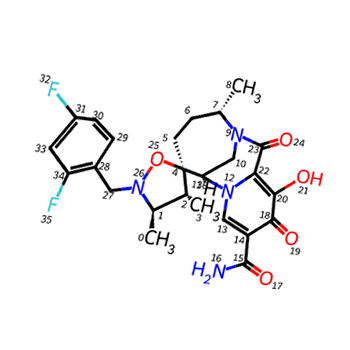 C[C@@H]1[C@@H](C)[C@@]2(CC[C@H](C)N3C[C@H]2n2cc(C(N)=O)c(=O)c(O)c2C3=O)ON1Cc1ccc(F)cc1F